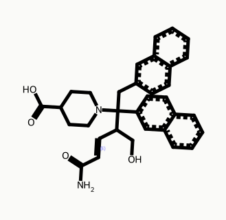 NC(=O)/C=C/C(CO)C(Cc1ccc2ccccc2c1)(c1ccc2ccccc2c1)N1CCC(C(=O)O)CC1